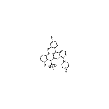 NC(=O)C(c1cc2c(N3CCNCC3)cccc2c(-c2ccc(F)cc2F)n1)c1c(F)cccc1F